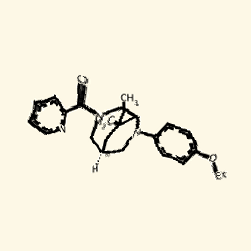 CCOc1ccc(N2C[C@H]3CN(C(=O)c4ccccn4)CC2C(C)(C)C3)cc1